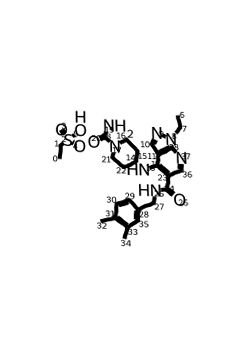 CCS(=O)(=O)O.CCn1ncc2c(NC3CCN(C(N)=O)CC3)c(C(=O)NCc3ccc(C)c(C)c3)cnc21